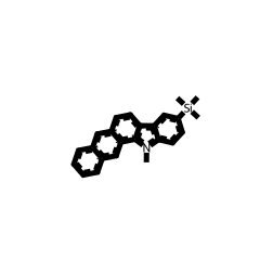 Cn1c2ccc([Si](C)(C)C)cc2c2ccc3cc4ccccc4cc3c21